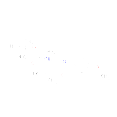 CCN(C(=O)[C@@H](NC(=O)OC(C)(C)C)C(C)C)c1ccc(OC)cc1